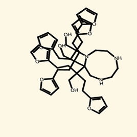 OCC(CCc1ccco1)(CCc1ccco1)N1CCNCCNCC1(C(CO)(CCc1ccco1)CCc1ccco1)C(CO)(CCc1ccco1)CCc1ccco1